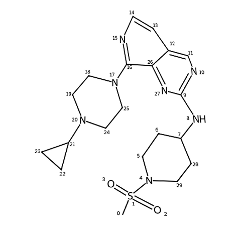 CS(=O)(=O)N1CCC(Nc2ncc3ccnc(N4CCN(C5CC5)CC4)c3n2)CC1